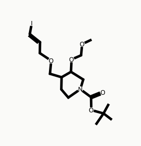 COCOC1CN(C(=O)OC(C)(C)C)CCC1COCC=CI